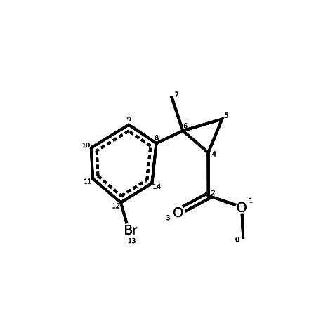 COC(=O)C1CC1(C)c1cccc(Br)c1